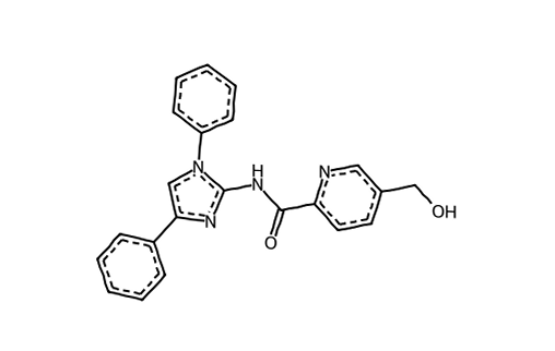 O=C(Nc1nc(-c2ccccc2)cn1-c1ccccc1)c1ccc(CO)cn1